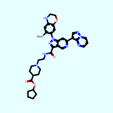 COc1cc2c(cc1-n1nc(C(=O)NCCN3CCC(C(=O)OC4CCCC4)CC3)c3cnc(-c4cnn5cccnc45)cc31)OCCN2